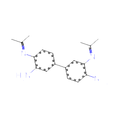 CC(C)=Nc1ccc(-c2ccc(N)c(N=C(C)C)c2)cc1N